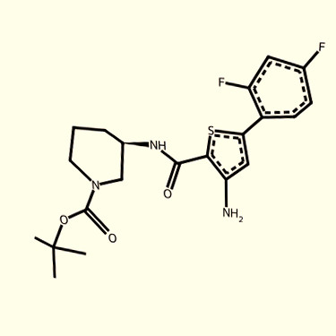 CC(C)(C)OC(=O)N1CCC[C@@H](NC(=O)c2sc(-c3ccc(F)cc3F)cc2N)C1